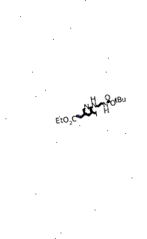 CCOC(=O)/C=C/c1cnc(NCCNC(=O)OC(C)(C)C)c(I)c1